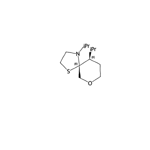 CC(C)[C@H]1CCOC[C@]12SCCN2C(C)C